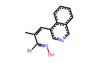 CCC(=NO)C(C)=Cc1cncc2ccccc12